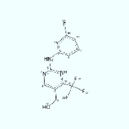 OCc1cnc(Nc2cccc(F)c2)nc1C(F)(F)F